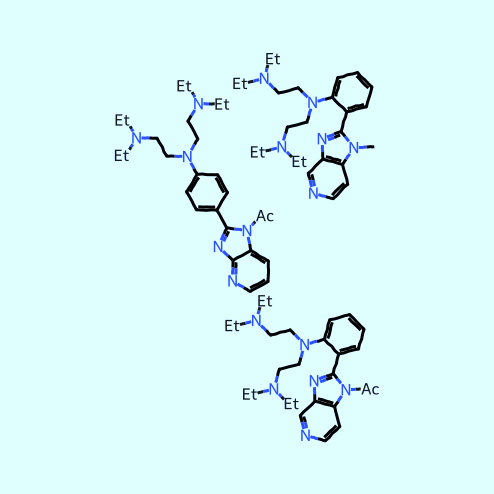 CCN(CC)CCN(CCN(CC)CC)c1ccc(-c2nc3ncccc3n2C(C)=O)cc1.CCN(CC)CCN(CCN(CC)CC)c1ccccc1-c1nc2cnccc2n1C.CCN(CC)CCN(CCN(CC)CC)c1ccccc1-c1nc2cnccc2n1C(C)=O